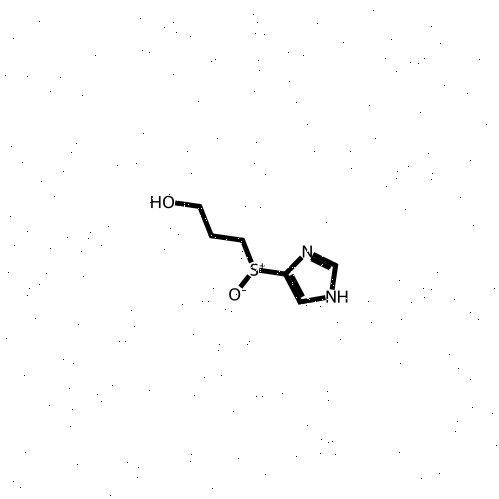 [O-][S+](CCCO)c1c[nH]cn1